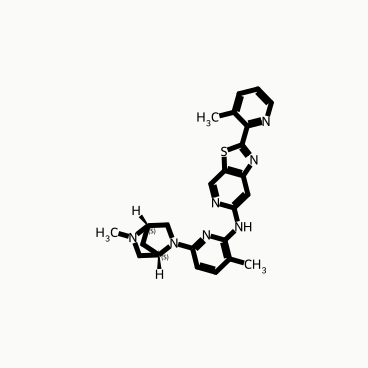 Cc1ccc(N2C[C@@H]3C[C@H]2CN3C)nc1Nc1cc2nc(-c3ncccc3C)sc2cn1